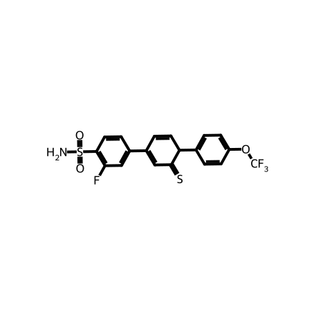 NS(=O)(=O)c1ccc(C2=CC(=S)C(c3ccc(OC(F)(F)F)cc3)C=C2)cc1F